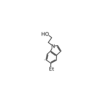 CCc1[c]cc2c(ccn2CCO)c1